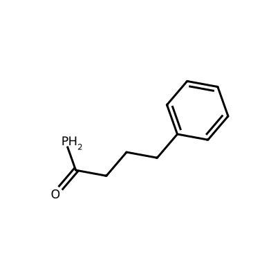 O=C(P)CCCc1ccccc1